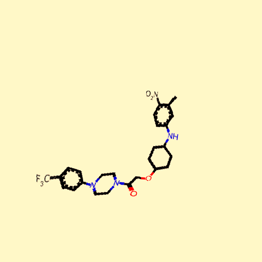 Cc1cc(NC2CCC(OCC(=O)N3CCN(c4ccc(C(F)(F)F)cc4)CC3)CC2)ccc1[N+](=O)[O-]